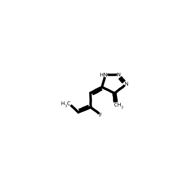 C=c1nn[nH]/c1=C/C(F)=C\C